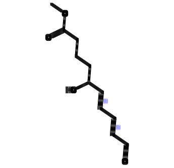 COC(=O)CCCC(O)/C=C/C=C/C=O